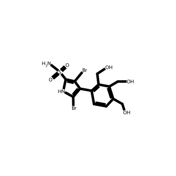 NS(=O)(=O)c1[nH]c(Br)c(-c2ccc(CO)c(CO)c2CO)c1Br